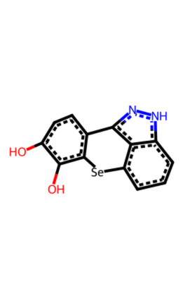 Oc1ccc2c(c1O)[Se]c1cccc3[nH]nc-2c13